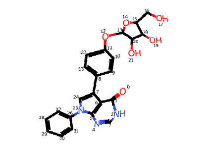 O=c1[nH]cnc2c1c(-c1ccc(OC3OC(CO)C(O)C3O)cc1)cn2-c1ccccc1